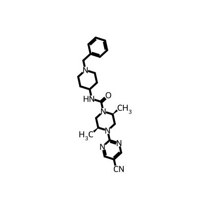 C[C@H]1CN(c2ncc(C#N)cn2)[C@@H](C)CN1C(=O)NC1CCN(Cc2ccccc2)CC1